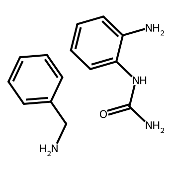 NC(=O)Nc1ccccc1N.NCc1ccccc1